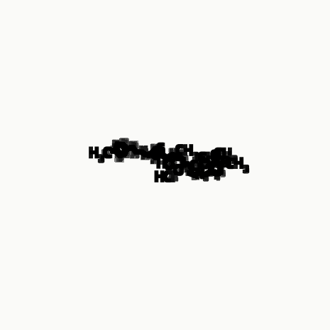 COc1ccc(CN2CCN(C(=O)CC(C)(C)CC(=O)c3cc(CCCCc4ccc(C)cc4)cs3)CC2)c(OC)c1OC.Cl